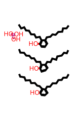 CCCCCCCCCc1cccc(O)c1CCCCCCCCC.CCCCCCCCCc1cccc(O)c1CCCCCCCCC.CCCCCCCCCc1cccc(O)c1CCCCCCCCC.OP(O)O